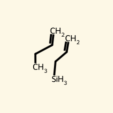 C=CCC.C=CC[SiH3]